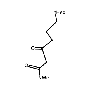 CCCCCCCCCC(=O)CC(=O)NC